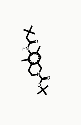 Cc1cc2c(c(C)c1NC(=O)CC(C)(C)C)CCN(C(=O)OC(C)(C)C)C2